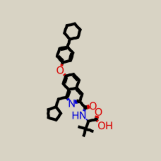 CC(C)(C)[C@H](NC(=O)c1cc2ccc(Oc3ccc(C4CCCCC4)cc3)cc2c(CC2CCCC2)n1)C(=O)O